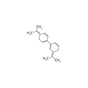 CC(C)=C1C=CC(C2=CC(=C(C)C)CC=C2)=CC1